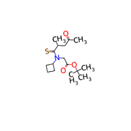 CC(=O)CC(C)C(=S)N(CC(=O)OC(C)(C)C)C1CCC1